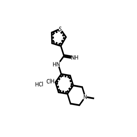 CN1CCc2ccc(NC(=N)c3ccsc3)cc2C1.Cl.Cl